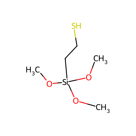 CO[Si](CCS)(OC)OC